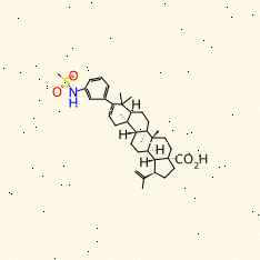 C=C(C)[C@@H]1CC[C@]2(C(=O)O)CC[C@]3(C)[C@H](CC[C@@H]4[C@@]5(C)CC=C(c6cccc(NS(C)(=O)=O)c6)C(C)(C)[C@@H]5CC[C@]43C)[C@@H]12